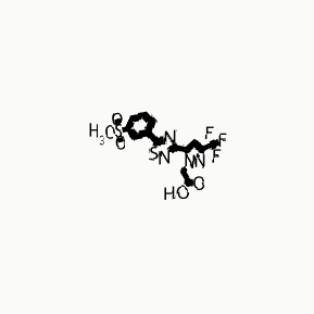 CS(=O)(=O)c1cccc(-c2nc(-c3cc(C(F)(F)F)nn3CC(=O)O)ns2)c1